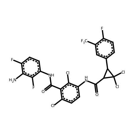 Nc1c(F)ccc(NC(=O)c2c(Cl)ccc(NC(=O)C3C(c4ccc(F)c(C(F)(F)F)c4)C3(Cl)Cl)c2Cl)c1F